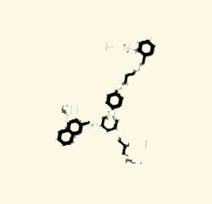 CNCC(O)CO[C@H]1C[C@@H](OCc2cc(OC)c3ccccc3c2)CN(c2ccc(OCCCOCc3ccccc3OC)cc2)C1